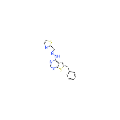 C(=NNc1ncnc2sc(Cc3ccccc3)cc12)c1nccs1